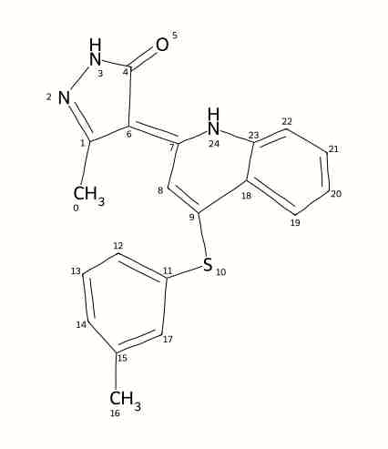 CC1=NNC(=O)/C1=C1/C=C(Sc2cccc(C)c2)c2ccccc2N1